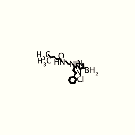 Bc1cnn2c(NCCNC(=O)CCC(C)C)cc(-c3ccccc3Cl)nc12